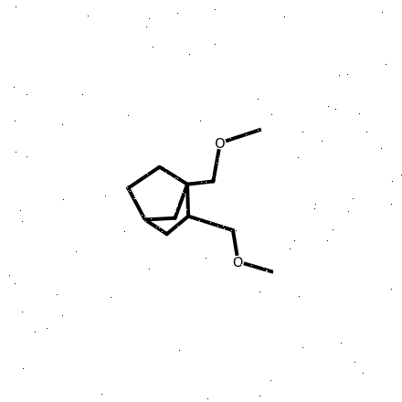 COCC1CC2CCC1(COC)C2